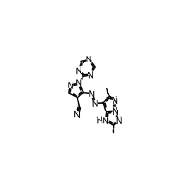 Cc1nn2nc(C)c(/N=N/c3c(C#N)cnn3-c3ncncn3)c2[nH]1